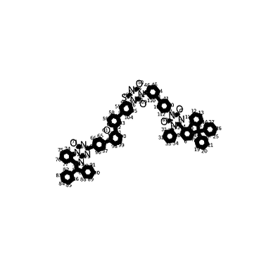 O=c1nc(-c2cccc3c2-c2ccccc2C3(c2ccccc2)c2ccccc2)n(-c2ccccc2)c(=O)n1-c1ccc(-c2cccc(-n3c(=O)nc4sc5cc(-c6ccc7oc8c(-c9ccc(-c%10nc(=O)n%11c%12ccccc%12c%12c(-c%13ccccc%13)c%13ccccc%13n%12c%11n%10)cc9)cccc8c7c6)ccc5n4c3=O)c2)cc1